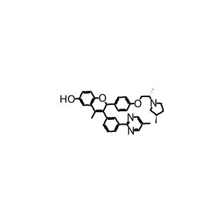 CC1=C(c2cccc(-c3ncc(C)cn3)c2)C(c2ccc(OC[C@H](C)N3CC[C@@H](C)C3)cc2)Oc2ccc(O)cc21